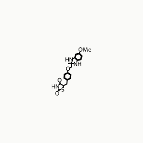 COc1ccc2c(c1)NC(C)(COc1ccc(CC3SC(=O)NC3=O)cc1)N2